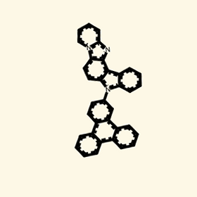 c1ccc2c(c1)c1ccccc1c1cc(-n3c4ccccc4c4c5nc6ccccn6c5ccc43)ccc21